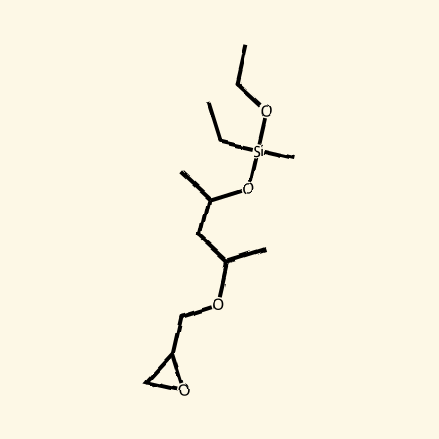 CCO[Si](C)(CC)OC(C)CC(C)OCC1CO1